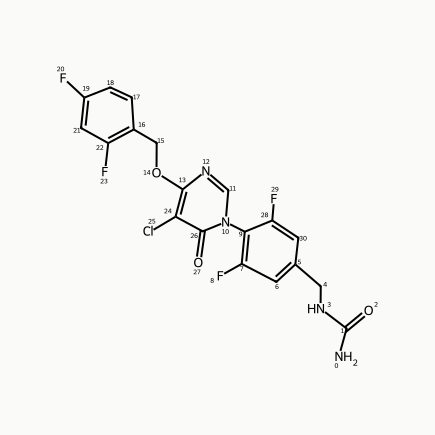 NC(=O)NCc1cc(F)c(-n2cnc(OCc3ccc(F)cc3F)c(Cl)c2=O)c(F)c1